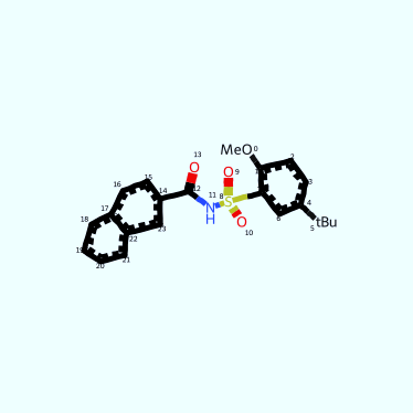 COc1ccc(C(C)(C)C)cc1S(=O)(=O)NC(=O)c1ccc2ccccc2c1